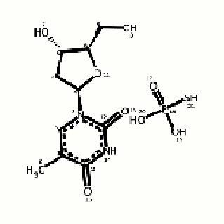 Cc1cn([C@H]2C[C@H](O)[C@@H](CO)O2)c(=O)[nH]c1=O.O=P(O)(O)S